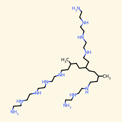 CC(CCNCCNCCN)CCC(CCNCCNCCNCCN)CCC(C)CCNCCNCCNCCNCCN